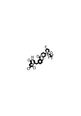 O=C(c1cc(Cc2c[nH]c(=O)c3cc(Cl)c(Cl)n23)ccc1F)N1CCC([N+]2(OC(=O)C(F)(F)F)CC[C@H](F)C2)CC1